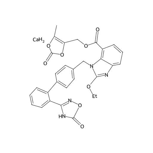 CCOc1nc2cccc(C(=O)OCc3oc(=O)oc3C)c2n1Cc1ccc(-c2ccccc2-c2noc(=O)[nH]2)cc1.[CaH2]